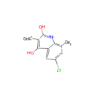 Cc1cc(Cl)cc2c(O)c(C=O)c(O)nc12